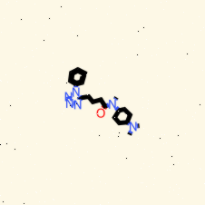 CN(C)C1CCC(N(C)C(=O)CCCc2nnnn2-c2ccccc2)CC1